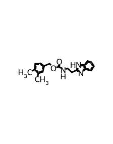 Cc1ccc(COC(=O)NCCc2nc3ccccc3[nH]2)cc1C